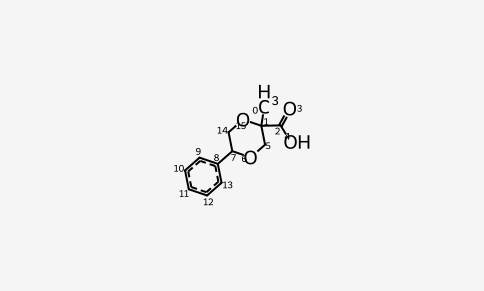 CC1(C(=O)O)COC(c2ccccc2)CO1